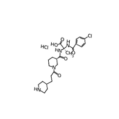 C[C@](NC(=O)c1ccc(Cl)cc1)(NC(=O)[C@@H]1CCCN(C(=O)CCC2CCNCC2)C1)C(=O)O.Cl